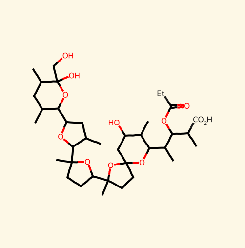 CCC(=O)OC(C(C)C(=O)O)C(C)C1OC2(CCC(C)(C3CCC(C)(C4OC(C5OC(O)(CO)C(C)CC5C)CC4C)O3)O2)CC(O)C1C